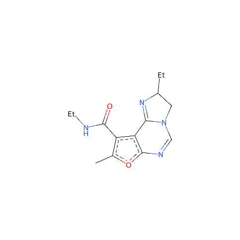 CCNC(=O)c1c(C)oc2c1C1=NC(CC)CN1C=N2